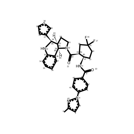 Cc1ccn(-c2ccc(C(=O)N[C@@H]3CCC(F)(F)C[C@@H]3C(=O)N3CC[C@@H]4[C@H](c5ccsc5)Nc5ccccc5[C@@H]43)cc2)n1